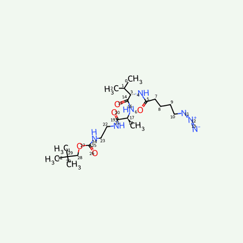 CC(C)[C@H](NC(=O)CCCCN=[N+]=[N-])C(=O)N[C@@H](C)C(=O)NCCNC(=O)OCC(C)(C)C